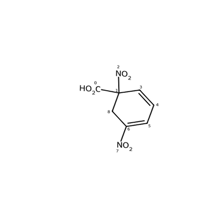 O=C(O)C1([N+](=O)[O-])C=CC=C([N+](=O)[O-])C1